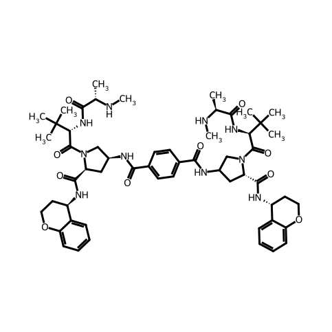 CN[C@@H](C)C(=O)N[C@H](C(=O)N1CC(NC(=O)c2ccc(C(=O)N[C@H]3C[C@@H](C(=O)N[C@@H]4CCOc5ccccc54)N(C(=O)[C@@H](NC(=O)[C@H](C)NC)C(C)(C)C)C3)cc2)C[C@H]1C(=O)N[C@@H]1CCOc2ccccc21)C(C)(C)C